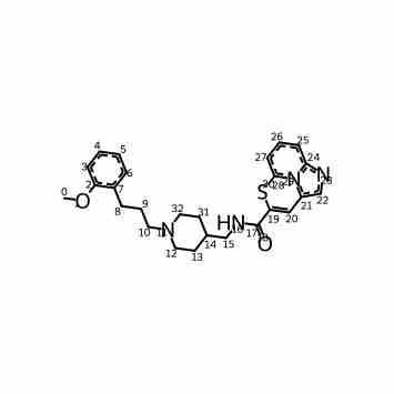 COc1ccccc1CCCN1CCC(CNC(=O)C2=Cc3cnc4cccc(n34)S2)CC1